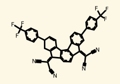 N#CC(C#N)=C1C2=C(C=CC(c3ccc(C(F)(F)F)cc3)C2)c2c1ccc1c2-c2ccc(-c3ccc(C(F)(F)F)cc3)cc2C1=C(C#N)C#N